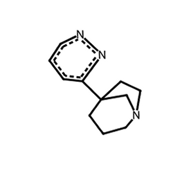 c1cnnc(C23CCCN(CC2)C3)c1